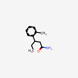 CCC(CC(N)=O)c1ccccc1C